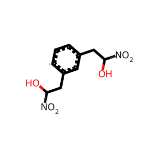 O=[N+]([O-])C(O)Cc1[c]ccc(CC(O)[N+](=O)[O-])c1